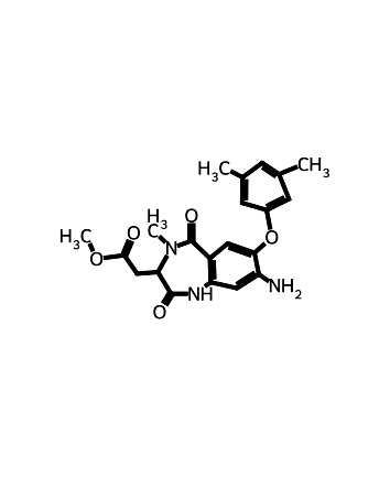 COC(=O)CC1C(=O)Nc2cc(N)c(Oc3cc(C)cc(C)c3)cc2C(=O)N1C